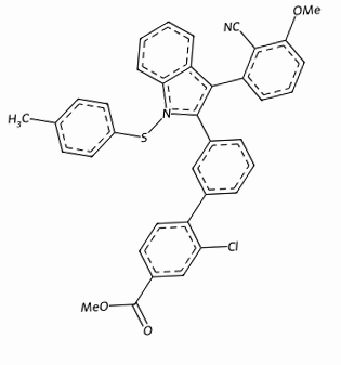 COC(=O)c1ccc(-c2cccc(-c3c(-c4cccc(OC)c4C#N)c4ccccc4n3Sc3ccc(C)cc3)c2)c(Cl)c1